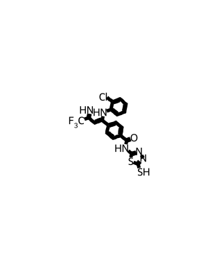 N=C(/C=C(\Nc1ccccc1Cl)c1ccc(C(=O)Nc2nnc(S)s2)cc1)C(F)(F)F